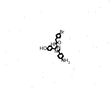 Nc1ccc(-c2cnc(NC(=O)Cc3ccc(Br)cc3)c(-c3ccc(O)cc3)n2)cc1